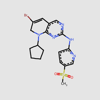 CS(=O)(=O)c1ccc(Nc2ncc3c(n2)N(C2CCCC2)CC(Br)=C3)nc1